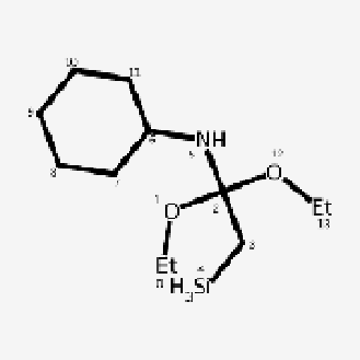 CCOC(C[SiH3])(NC1CCCCC1)OCC